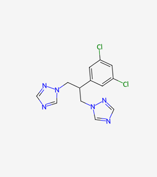 Clc1cc(Cl)cc(C(Cn2cncn2)Cn2cncn2)c1